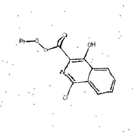 CC(C)OOC(=O)c1nc(Cl)c2ccccc2c1O